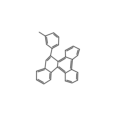 Cc1cccc(-c2cc3ccccc3c3c4ccccc4c4ccccc4c23)c1